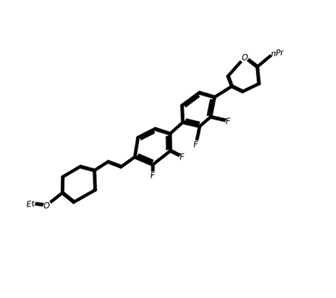 CCCC1CCC(c2ccc(-c3ccc(CCC4CCC(OCC)CC4)c(F)c3F)c(F)c2F)CO1